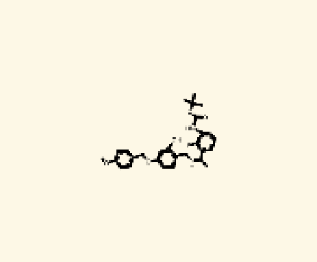 COc1ccc(COc2ccc(CNC(C)c3cccc(NC(=O)OC(C)(C)C)c3F)c(O)c2)cc1